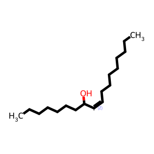 CCCCCCCC/C=[C]\C(O)CCCCCCC